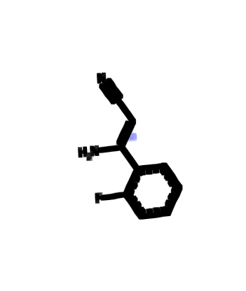 N#C/C=C(\N)c1ccccc1F